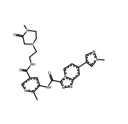 Cc1ncc(C(=O)NCCN2CCN(C)C(=O)C2)cc1NC(=O)c1nnc2cc(-c3cnn(C)c3)ccn12